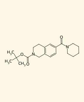 CC(C)(C)OC(=O)N1CCc2cc(C(=O)N3CCCCC3)ccc2C1